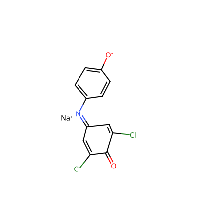 O=C1C(Cl)=CC(=Nc2ccc([O-])cc2)C=C1Cl.[Na+]